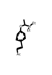 CCN(CC)C(C)Oc1ccc(C=CC(C)=O)cc1